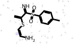 C=C(S/C=C\N)C(=N)S(=O)(=O)c1ccc(C)cc1